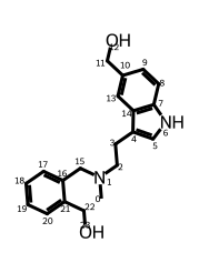 CN(CCc1c[nH]c2ccc(CO)cc12)Cc1ccccc1CO